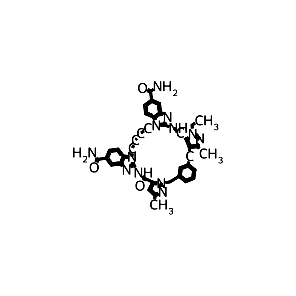 CCn1nc(C)c2c1CNc1nc3cc(C(N)=O)ccc3n1CCCCn1c(nc3cc(C(N)=O)ccc31)NC(=O)c1cc(C)nn1Cc1cccc(c1)C2